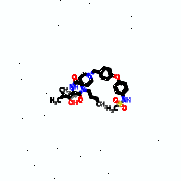 CCCCN1C(=O)[C@@H]([C@H](O)C(C)C)NC(=O)C12CCN(Cc1ccc(Oc3ccc(NS(C)(=O)=O)cc3)cc1)CC2